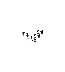 [Nb].[Pb].[Sn].[Sn].[Sn]